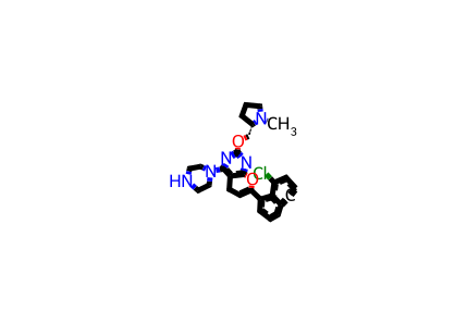 CN1CCC[C@H]1COc1nc2c(c(N3CCNCC3)n1)CC=C(c1cccc3cccc(Cl)c13)O2